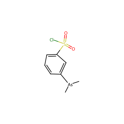 C[As](C)c1cccc(S(=O)(=O)Cl)c1